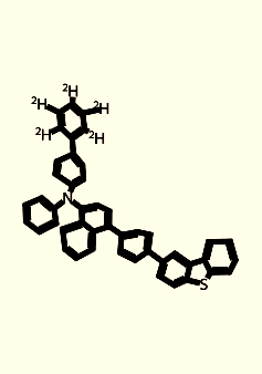 [2H]c1c([2H])c([2H])c(-c2ccc(N(c3ccccc3)c3ccc(-c4ccc(-c5ccc6sc7ccccc7c6c5)cc4)c4ccccc34)cc2)c([2H])c1[2H]